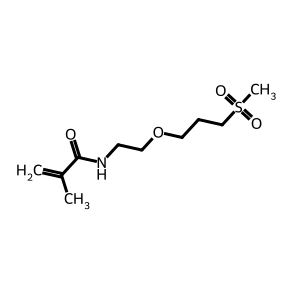 C=C(C)C(=O)NCCOCCCS(C)(=O)=O